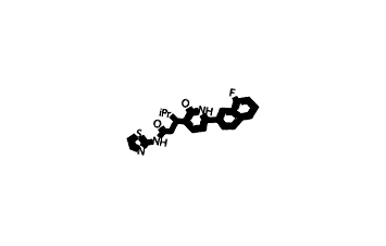 CC(C)C(CC(=O)Nc1nccs1)c1ccc(-c2ccc3cccc(F)c3c2)[nH]c1=O